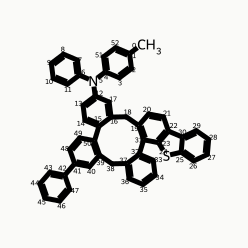 Cc1ccc(N(c2ccccc2)c2ccc3c(c2)Cc2ccc4c(sc5ccccc54)c2-c2ccccc2Cc2cc(-c4ccccc4)ccc2-3)cc1